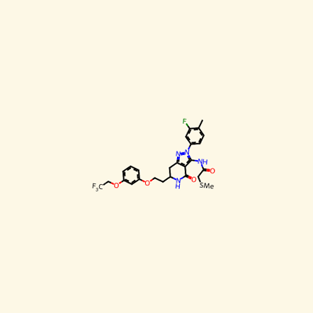 CSCC(=O)Nc1c2c(nn1-c1ccc(C)c(F)c1)CC(CCOc1cccc(OCC(F)(F)F)c1)NC2=O